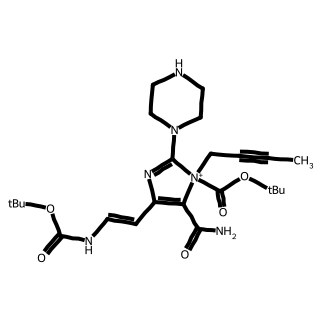 CC#CC[N+]1(C(=O)OC(C)(C)C)C(N2CCNCC2)=NC(C=CNC(=O)OC(C)(C)C)=C1C(N)=O